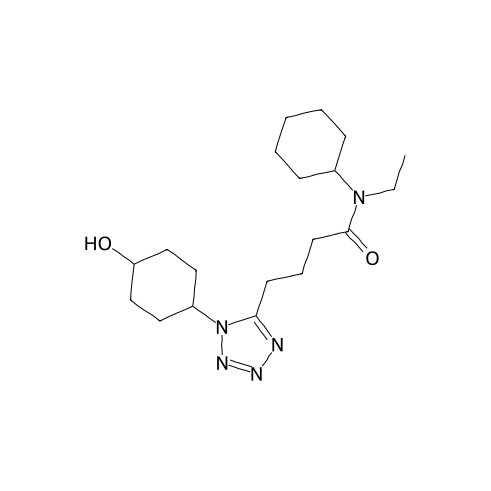 CCN(C(=O)CCCc1nnnn1C1CCC(O)CC1)C1CCCCC1